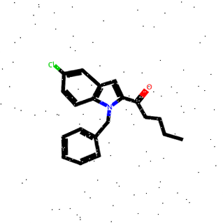 CCCCC(=O)c1cc2cc(Cl)ccc2n1Cc1ccccc1